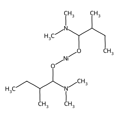 CCC(C)C([O][Ni][O]C(C(C)CC)N(C)C)N(C)C